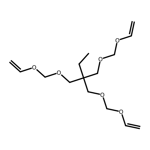 C=COCOCC(CC)(COCOC=C)COCOC=C